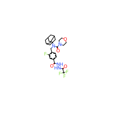 O=C(NNC(=O)C(F)(F)F)c1ccc(CN(C(=O)N2CCOCC2)C23CC4CC(CC(C4)C2)C3)c(F)c1